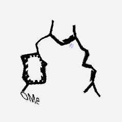 COc1ccc(CC(C)/C=C(\C)CCC=C(C)C)cc1